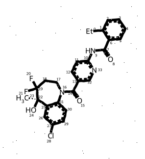 CCc1ccccc1C(=O)Nc1ccc(C(=O)N2CCC(F)(F)[C@](C)(O)c3cc(Cl)ccc32)cn1